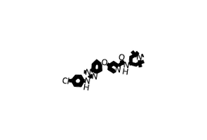 CN1C(C)(C)CC(NC(=O)c2cc(Oc3ccc4c(c3)nc(Nc3ccc(Cl)cc3)n4C)ccn2)CC1(C)C